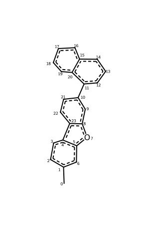 Cc1ccc2c(c1)oc1cc(-c3cccc4ccccc34)ccc12